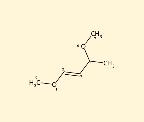 CO/C=C/C(C)OC